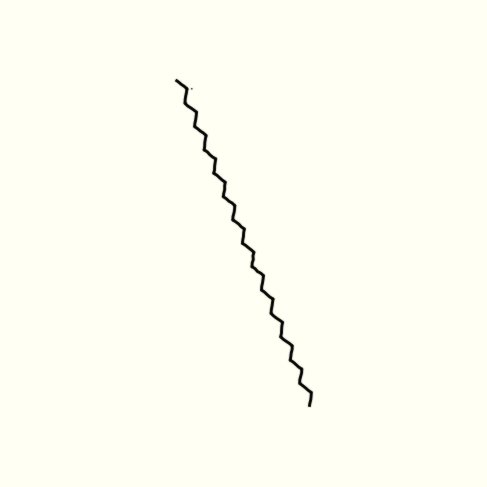 C[CH]CCCCCCCCCCCCCCCCCCCCCCCCCCC